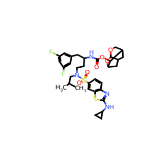 CC(C)CN(CCC(Cc1cc(F)cc(F)c1)NC(=O)OC1C2COC3OC1CC3C2)S(=O)(=O)c1ccc2nc(NC3CC3)sc2c1